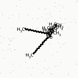 CCCCCCCCCCCCCCCCCCOC(=O)C(Cc1cc(C(C)(C)C)c(OC(=O)OC(C)(C)C)cc1C)C(=O)OCCCCCCCCCCCCCCCCCC